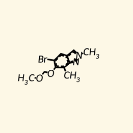 COCOc1c(Br)cc2cn(C)nc2c1C